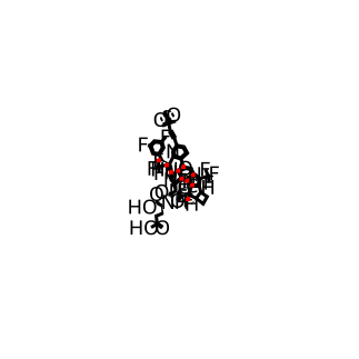 CC(C)(C#Cc1ccc(-c2ccc(Cl)c3c(N(C(=O)N[C@@H](CCC(=O)O)C(=O)O)S(C)(=O)=O)nn(CC(F)(F)F)c23)c([C@H](Cc2cc(F)cc(F)c2)NC(=O)Cn2nc(C(F)(F)F)c3c2C(F)(F)[C@@H]2CC[C@H]32)n1)S(C)(=O)=O